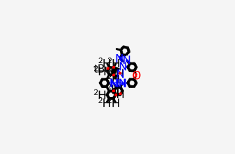 [2H]c1c([2H])c([2H])c(-c2cccc(-c3c([2H])c([2H])c([2H])c([2H])c3[2H])c2Nc2ccccc2Nc2cccc(Oc3ccc4c(c3)n(-c3cc(C(C)(C)C)ccn3)c3nc5c(C)cccc5n43)c2)c([2H])c1[2H]